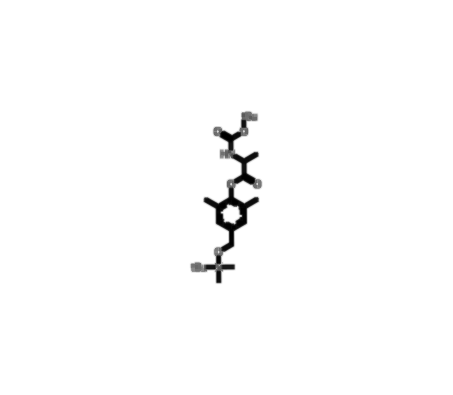 Cc1cc(CO[Si](C)(C)C(C)(C)C)cc(C)c1OC(=O)C(C)NC(=O)OC(C)(C)C